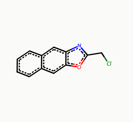 ClCc1nc2cc3ccccc3cc2o1